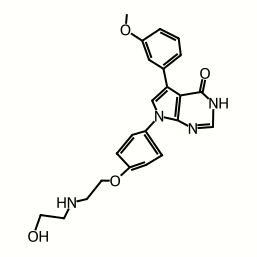 COc1cccc(-c2cn(-c3ccc(OCCNCCO)cc3)c3nc[nH]c(=O)c23)c1